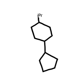 CC(C)C1CCC(C2CCCC2)CC1